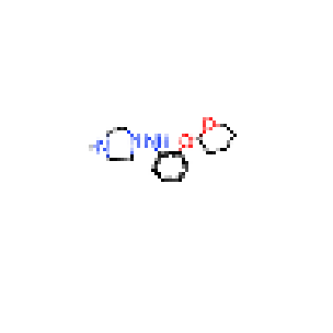 CN1CCN(Nc2ccccc2OC2CCCCO2)CC1